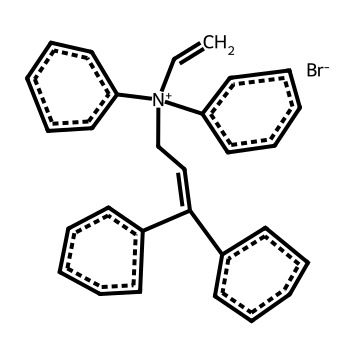 C=C[N+](CC=C(c1ccccc1)c1ccccc1)(c1ccccc1)c1ccccc1.[Br-]